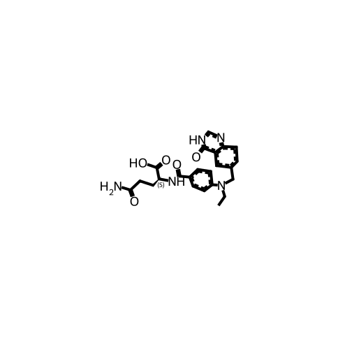 CCN(Cc1ccc2nc[nH]c(=O)c2c1)c1ccc(C(=O)N[C@@H](CCC(N)=O)C(=O)O)cc1